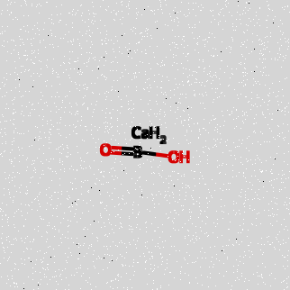 O=BO.[CaH2]